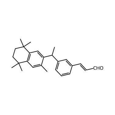 Cc1cc2c(cc1C(C)c1cccc(/C=C/C=O)c1)C(C)(C)CCC2(C)C